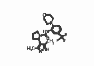 Cc1n[nH]c(C)c1C1CCCN1C(=O)Nc1cc(C(F)(F)F)ccc1N1CCOCC1